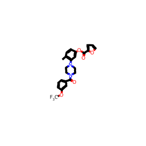 Cc1ccc(OC(=O)c2ccco2)cc1N1CCN(C(=O)c2cccc(OC(F)(F)F)c2)CC1